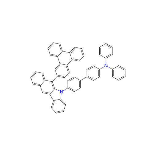 c1ccc(N(c2ccccc2)c2ccc(-c3ccc(-n4c5ccccc5c5cc6ccccc6c(-c6ccc7c8ccccc8c8ccccc8c7c6)c54)cc3)cc2)cc1